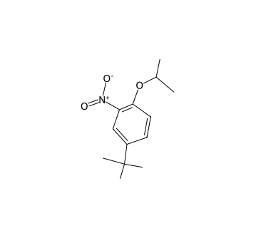 CC(C)Oc1ccc(C(C)(C)C)cc1[N+](=O)[O-]